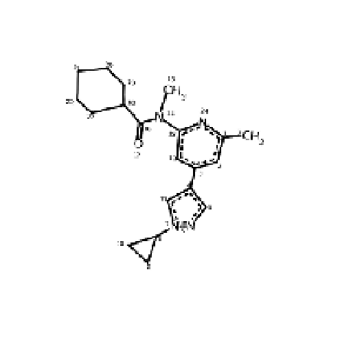 Cc1cc(-c2cnn(C3CC3)c2)cc(N(C)C(=O)C2CCCCC2)n1